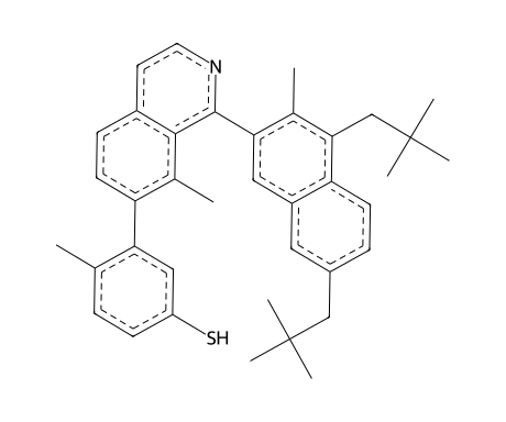 Cc1ccc(S)cc1-c1ccc2ccnc(-c3cc4cc(CC(C)(C)C)ccc4c(CC(C)(C)C)c3C)c2c1C